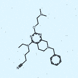 CCN(CCCC#N)c1nc(OCCN(C)C)nc2c1CCN(Cc1ccccc1)C2